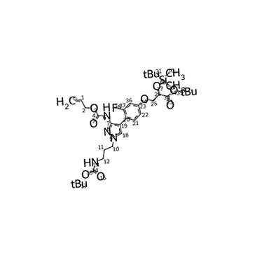 C=CCOC(=O)Nc1nn(CCCNC(=O)OC(C)(C)C)cc1-c1ccc(OC[C@@H](O[Si](C)(C)C(C)(C)C)C(=O)OC(C)(C)C)cc1F